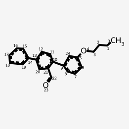 CCCCOc1cccc(-c2ccc(-c3ccccc3)cc2C=O)c1